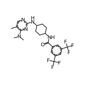 Cc1cnc(NC2CCC(NC(=O)c3cc(C(F)(F)F)cc(C(F)(F)F)c3)CC2)nc1N(C)C